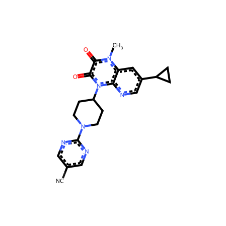 Cn1c(=O)c(=O)n(C2CCN(c3ncc(C#N)cn3)CC2)c2ncc(C3CC3)cc21